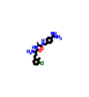 Cc1c(Cl)cccc1CC[C@@H](N)C(=O)N[C@@H](C)C(=O)NCc1ccc(C(=N)N)cc1